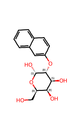 OC[C@H]1O[C@H](O)[C@H](Oc2ccc3ccccc3c2)[C@@H](O)[C@H]1O